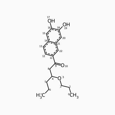 CCCOC(CCC)CC(=O)c1ccc2cc(O)c(O)cc2c1